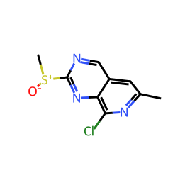 Cc1cc2cnc([S+](C)[O-])nc2c(Cl)n1